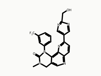 CN1Cc2cnc3ccc(-c4cnc(CO)nc4)nc3c2N(c2cccc(C(F)(F)F)c2)C1=O